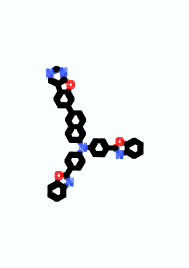 c1ccc2oc(-c3ccc(N(c4ccc(-c5nc6ccccc6o5)cc4)c4ccc5cc(-c6ccc7c(c6)oc6ncncc67)ccc5c4)cc3)nc2c1